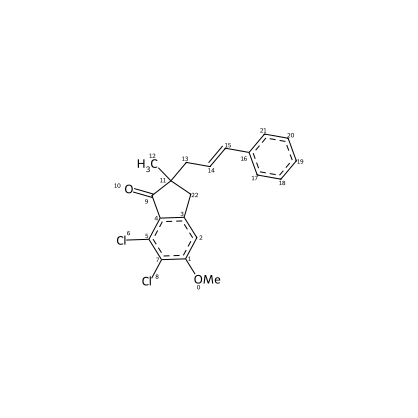 COc1cc2c(c(Cl)c1Cl)C(=O)C(C)(C/C=C/c1ccccc1)C2